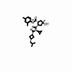 Cc1ccc(NC(=O)[C@@H]2C[C@](C)(O)C[C@H]2c2nnc([C@H]3C[C@@H](CC(C)C)C3)n2C2CC2)c(C)c1